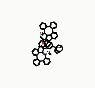 C=N/C1=C(\c2c(C)n3c4cnc5c(c4c4cc(C67CC8CC(CC6C8)C7)cc2c43)-c2c(-c3ccccc3)cccc2-c2ccccc2-c2ccccc2-5)c2c(-c3ccccc3)cccc2-c2ccccc2-c2ccccc21